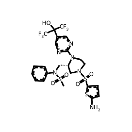 CS(=O)(=O)N(C[C@H]1CN(S(=O)(=O)c2ccc(N)s2)CCN1c1ncc(C(O)(C(F)(F)F)C(F)(F)F)cn1)c1ccccc1